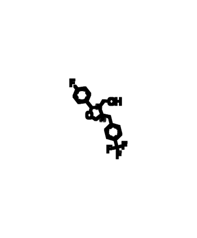 OC[C@@H]1C(c2ccc(F)cc2)OC[C@@H]1Cc1ccc(C(F)(F)F)cc1